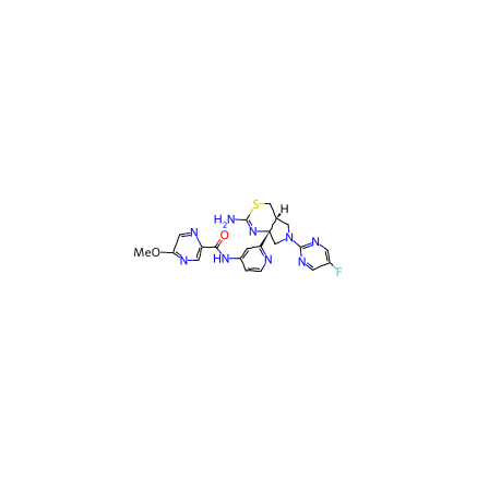 COc1cnc(C(=O)Nc2ccnc([C@]34CN(c5ncc(F)cn5)C[C@H]3CSC(N)=N4)c2)cn1